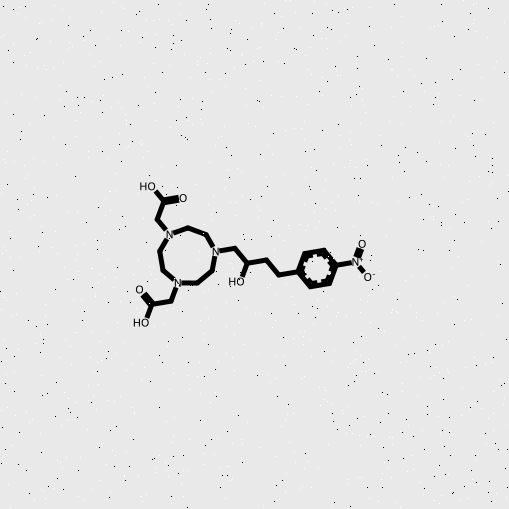 O=C(O)CN1CCN(CC(=O)O)CCN(CC(O)CCc2ccc([N+](=O)[O-])cc2)CC1